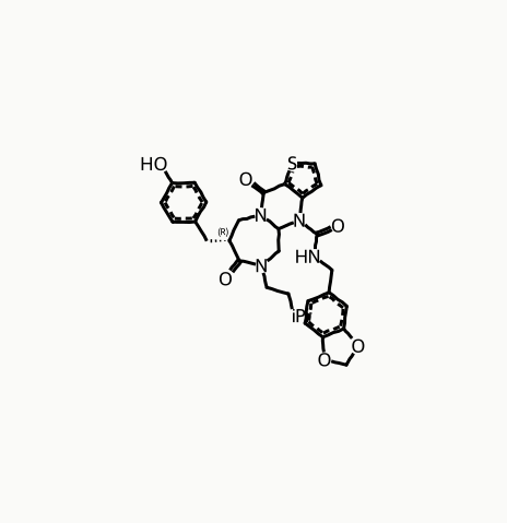 CC(C)CCN1CC2N(C[C@@H](Cc3ccc(O)cc3)C1=O)C(=O)c1sccc1N2C(=O)NCc1ccc2c(c1)OCO2